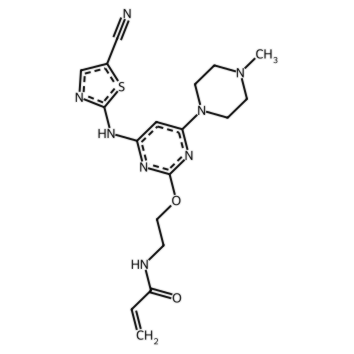 C=CC(=O)NCCOc1nc(Nc2ncc(C#N)s2)cc(N2CCN(C)CC2)n1